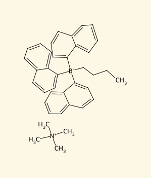 CCCC[B-](c1cccc2ccccc12)(c1cccc2ccccc12)c1cccc2ccccc12.C[N+](C)(C)C